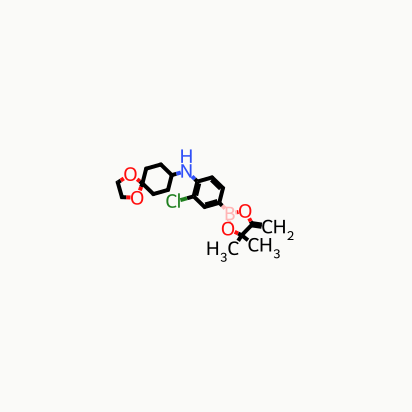 C=C1OB(c2ccc(NC3CCC4(CC3)OCCO4)c(Cl)c2)OC1(C)C